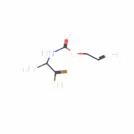 C=CCOC(=O)NC(CCC)C(=S)S